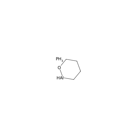 C1C[CH2][AlH][O]C1.P